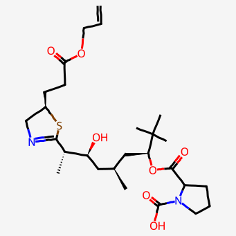 C=CCOC(=O)CC[C@@H]1CN=C([C@@H](C)[C@@H](O)C[C@H](C)C[C@H](OC(=O)C2CCCN2C(=O)O)C(C)(C)C)S1